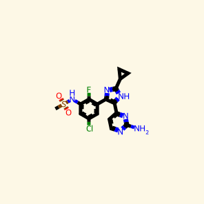 CS(=O)(=O)Nc1cc(Cl)cc(-c2nc(C3CC3)[nH]c2-c2ccnc(N)n2)c1F